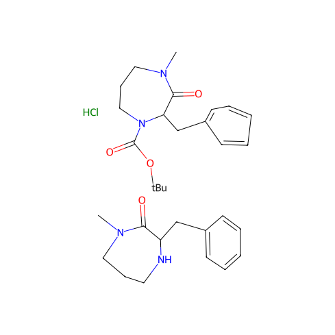 CN1CCCN(C(=O)OC(C)(C)C)C(Cc2ccccc2)C1=O.CN1CCCNC(Cc2ccccc2)C1=O.Cl